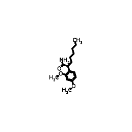 CCCCCCC(C(N)=O)c1ccc(OC)cc1OC